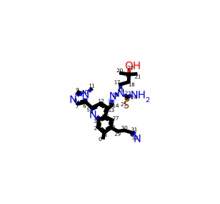 Cc1cc2nc(-c3cncn3C)cc(/C=N/N(CCC(C)(C)O)C(N)=S)c2cc1CCC#N